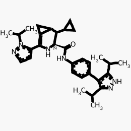 CC(C)c1n[nH]c(C(C)C)c1-c1ccc(NC(=O)[C@H]2NC(c3ccnn3C(C)C)=C3CC3C2C2CC2)cc1